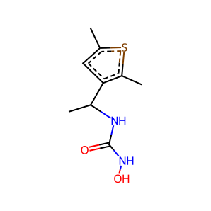 Cc1cc(C(C)NC(=O)NO)c(C)s1